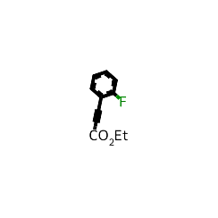 CCOC(=O)C#Cc1ccccc1F